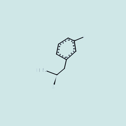 CC(=O)[C@@H](N)Cc1cccc(F)c1